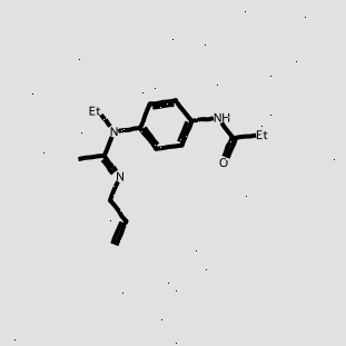 C=CCN=C(C)N(CC)c1ccc(NC(=O)CC)cc1